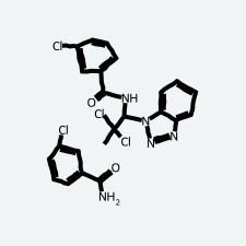 CC(Cl)(Cl)C(NC(=O)c1cccc(Cl)c1)n1nnc2ccccc21.NC(=O)c1cccc(Cl)c1